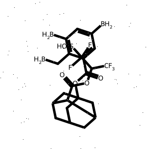 BCc1c(B)cc(B)cc1C(=O)OC12CC3CC(C1)C(C(=O)OC(C(F)(F)F)C(F)(F)S(=O)(=O)O)C(C3)C2